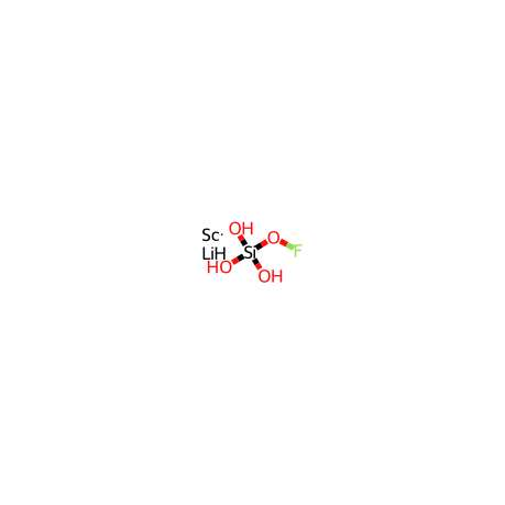 O[Si](O)(O)OF.[LiH].[Sc]